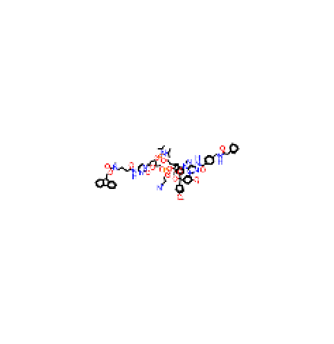 C#CCCOP(OC1C[C@H](n2ccc(NC(=O)CCCN(C)C(=O)OCC3c4ccccc4-c4ccccc43)nc2=O)O[C@@H]1COP(OCCC#N)OC1C[C@H](n2cnc3c(NC(=O)c4ccc(CNC(=O)Cc5ccccc5)cc4)ncnc32)O[C@@H]1COC(c1ccccc1)(c1ccc(OC)cc1)c1ccc(OC)cc1)N(C(C)C)C(C)C